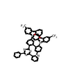 N#Cc1ccc(-n2c3ccccc3c3cc(C(F)(F)F)ccc32)c(-c2cc(-n3c4ccccc4c4cc(C(F)(F)F)ccc43)ccc2-c2nc(-c3ccccc3)nc(-c3ccccc3)n2)c1